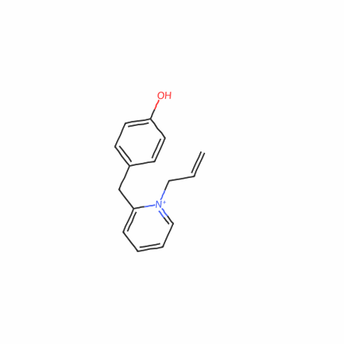 C=CC[n+]1ccccc1Cc1ccc(O)cc1